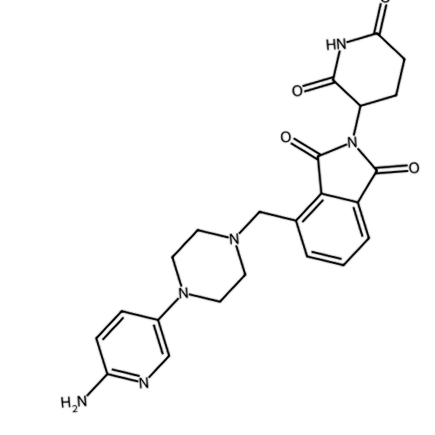 Nc1ccc(N2CCN(Cc3cccc4c3C(=O)N(C3CCC(=O)NC3=O)C4=O)CC2)cn1